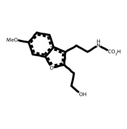 COc1ccc2c(CCNC(=O)O)c(CCO)oc2c1